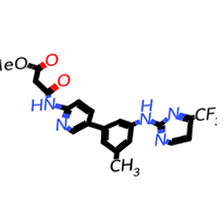 COC(=O)CC(=O)Nc1ccc(-c2cc(C)cc(Nc3nccc(C(F)(F)F)n3)c2)cn1